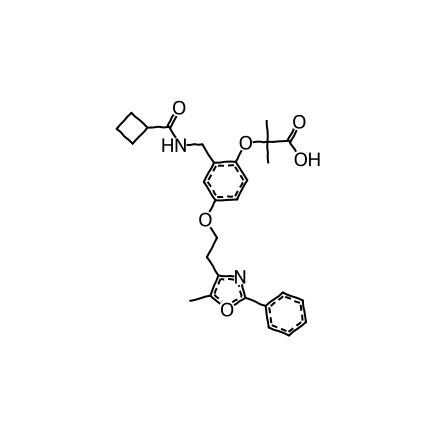 Cc1oc(-c2ccccc2)nc1CCOc1ccc(OC(C)(C)C(=O)O)c(CNC(=O)C2CCC2)c1